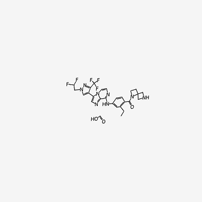 CCc1cc(Nc2nccn3c(-c4cn(CC(F)F)nc4C(F)(F)F)cnc23)ccc1C(=O)N1CCC12CNC2.O=CO